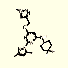 Cc1cc(C)n(-c2nc(NC3CCC(F)(F)CC3)cc(OCc3cn(C)nn3)n2)n1